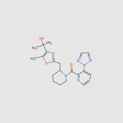 Cc1oc(CC2CCCCN2C(=O)c2ncccc2-n2nccn2)nc1C(C)(C)O